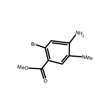 CNc1cc(C(=O)OC)c(Br)cc1N